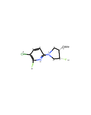 CO[C@H]1CN(c2ccc(Cl)c(F)n2)C[C@H]1F